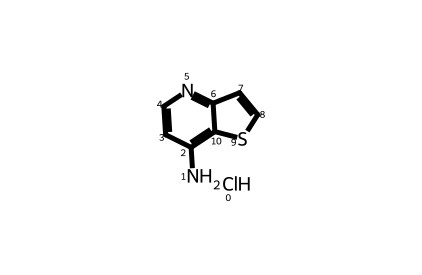 Cl.Nc1ccnc2ccsc12